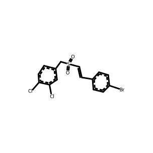 O=S(=O)(/C=C/c1ccc(Br)cc1)Cc1ccc(Cl)c(Cl)c1